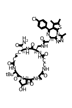 Cc1sc2c(c1C)C(c1ccc(Cl)cc1)=N[C@@H](CC(=O)NC[C@H]1NC(=O)CCNC(=O)C(C)NC(=O)[C@@H]3C[C@@H](O)CN3C(=O)C(C(C)(C)C)NC(=O)CSC[C@H](C(N)=O)NC1=O)c1nnc(C)n1-2